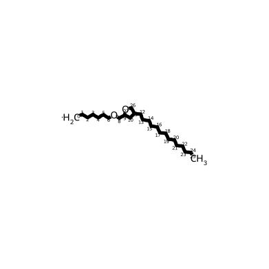 [CH2]CCCCCCOCC1CC(CCCCCCCCCCCCCC)CO1